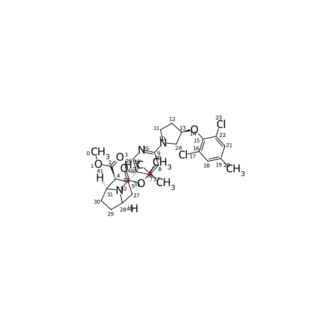 COC(=O)[C@H]1[C@H](c2ccc(N3CC[C@@H](Oc4c(Cl)cc(C)cc4Cl)C3)nc2)C[C@H]2CC[C@@H]1N2C(=O)OC(C)(C)C